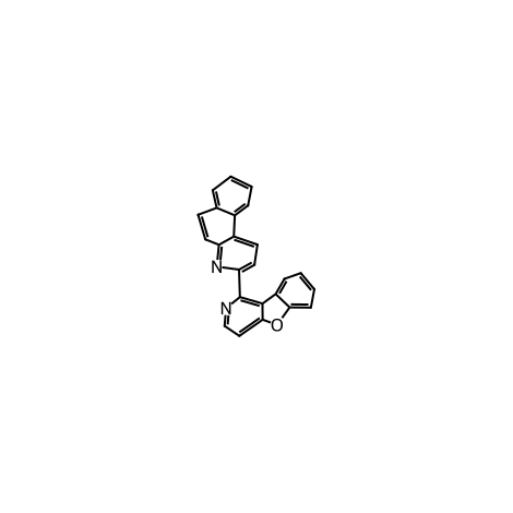 c1ccc2c(c1)ccc1nc(-c3nccc4oc5ccccc5c34)ccc12